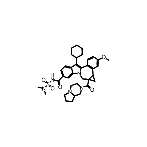 COc1ccc2c(c1)C1CC1(C(=O)N1CCN3CCCC3C1)Cn1c-2c(C2CCCCC2)c2ccc(C(=O)NS(=O)(=O)N(C)C)cc21